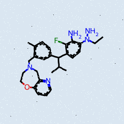 CCN(N)c1ccc(C(c2ccc(C)c(CN3CCOc4cccnc4C3)c2)C(C)C)c(F)c1N